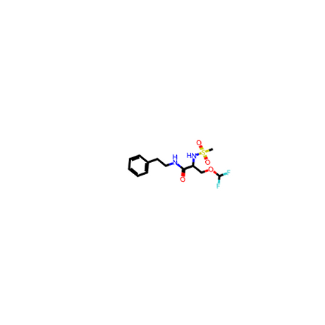 CS(=O)(=O)NC(COC(F)F)C(=O)NCCc1ccccc1